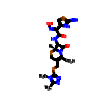 Cc1nnc(SCC2=C(C(=O)O)N3C(=O)C(NC(=O)C(=NO)c4csc(=N)[nH]4)[C@@H]3SC2)n1C